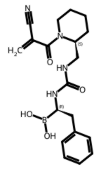 C=C(C#N)C(=O)N1CCCC[C@H]1CNC(=O)N[C@@H](Cc1ccccc1)B(O)O